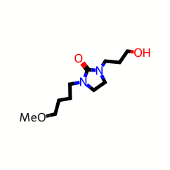 COCCCCN1CCN(CCCO)C1=O